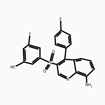 N#Cc1cc(F)cc(S(=O)(=O)c2cnc3c(N)cccc3c2-c2ccc(F)cc2)c1